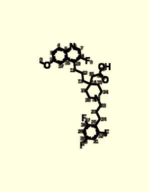 COc1ccc2ncc(F)c(CCCC3(CC(=O)O)CCN(CCCc4c(F)cc(F)cc4F)CC3)c2c1